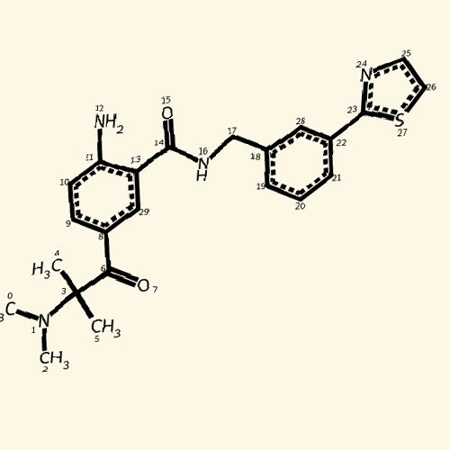 CN(C)C(C)(C)C(=O)c1ccc(N)c(C(=O)NCc2cccc(-c3nccs3)c2)c1